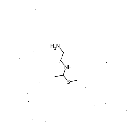 CSC(C)NCCN